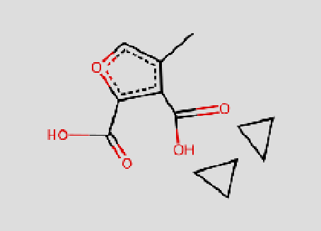 C1CC1.C1CC1.Cc1coc(C(=O)O)c1C(=O)O